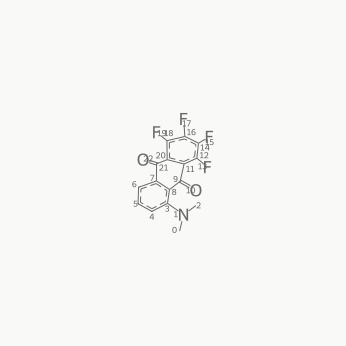 CN(C)c1cccc2c1C(=O)c1c(F)c(F)c(F)c(F)c1C2=O